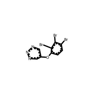 Brc1ccc(Oc2cnnnc2)c(Br)c1Br